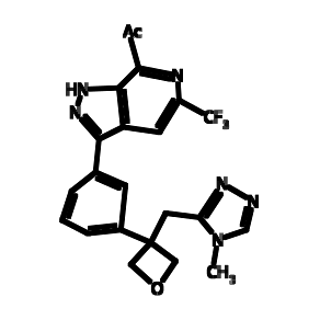 CC(=O)c1nc(C(F)(F)F)cc2c(-c3cccc(C4(Cc5nncn5C)COC4)c3)n[nH]c12